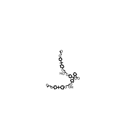 CC(C)(c1ccc(OCC(O)COc2ccc(C3(c4ccc(OCC(O)COc5ccc(C(C)(C)c6ccc(OCC7CO7)cc6)cc5)cc4)OC(=O)c4ccccc43)cc2)cc1)c1ccc(OCC2CO2)cc1